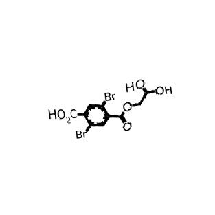 O=C(O)c1cc(Br)c(C(=O)OCC(O)O)cc1Br